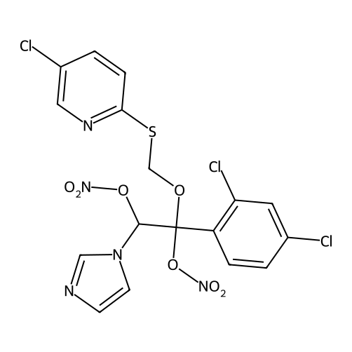 O=[N+]([O-])OC(n1ccnc1)C(OCSc1ccc(Cl)cn1)(O[N+](=O)[O-])c1ccc(Cl)cc1Cl